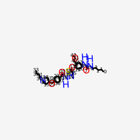 CCCCCNC(=O)Nc1ccc(Oc2cnc(NC(=O)c3ccc(OC4CCN(CCCC)CC4)cc3)s2)c(COC)c1